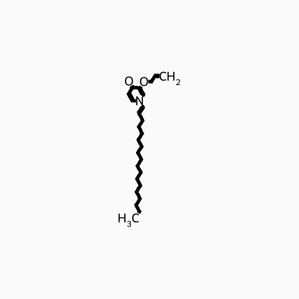 C=CCOc1cn(C=CCCCCCCCCCCCCCCCC)ccc1=O